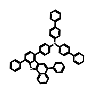 C1=CC(c2ccc(N(c3ccc(-c4ccccc4)cc3)c3ccc(-c4ccc(-c5ccccc5)c5oc6c7ccccc7c(-c7ccccc7)cc6c45)cc3)cc2)=CCC1